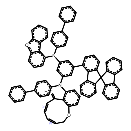 C=C1/C=C\C=C/COc2cccc(N(c3ccc(-c4ccccc4)cc3)c3cc(-c4cccc5c4-c4ccccc4C54c5ccccc5-c5ccccc54)cc(N(c4ccc(-c5ccccc5)cc4)c4cccc5oc6ccccc6c45)c3)c21